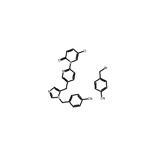 N#Cc1ccc(CBr)cc1.N#Cc1ccc(Cn2cncc2Cc2ccc(-n3cc(Cl)ccc3=O)nc2)cc1